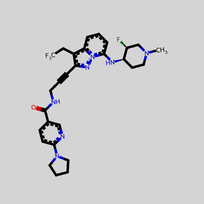 CN1CC[C@@H](Nc2cccc3c(CC(F)(F)F)c(C#CCNC(=O)c4ccc(N5CCCC5)nc4)nn23)[C@@H](F)C1